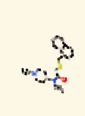 CN1CCC(N(C)C(=O)CSCc2cccc3ccccc23)CC1